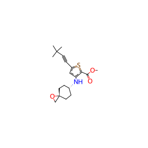 COC(=O)c1sc(C#CC(C)(C)C)cc1N[C@H]1CC[C@@]2(CC1)CO2